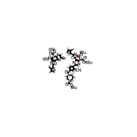 Cc1ccsc1-c1nnc(-c2nc(-c3ccc(C(=O)N4CCCN(C(=O)OC(C)(C)C)CC4)cc3C#N)cnc2N(C(=O)OC(C)(C)C)C(=O)OC(C)(C)C)o1.Cc1ccsc1-c1nnc(-c2nc(Br)cnc2N(C(=O)OC(C)(C)C)C(=O)OC(C)(C)C)o1